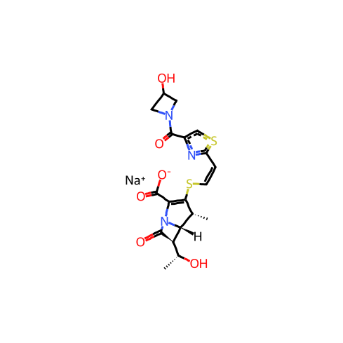 C[C@@H](O)[C@H]1C(=O)N2C(C(=O)[O-])=C(S/C=C\c3nc(C(=O)N4CC(O)C4)cs3)[C@H](C)[C@H]12.[Na+]